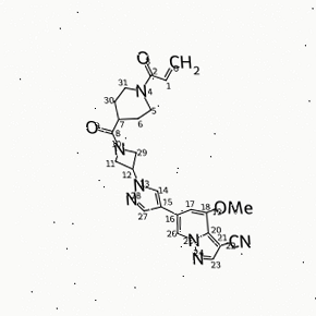 C=CC(=O)N1CCC(C(=O)N2CC(n3cc(-c4cc(OC)c5c(C#N)cnn5c4)cn3)C2)CC1